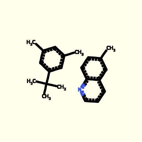 Cc1cc(C)cc(C(C)(C)C)c1.Cc1ccc2ncccc2c1